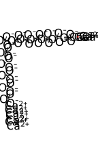 O=C([O-])[O-].O=C([O-])[O-].O=C([O-])[O-].O=C([O-])[O-].O=C([O-])[O-].O=C([O-])[O-].O=C([O-])[O-].O=C([O-])[O-].O=C([O-])[O-].O=C([O-])[O-].O=C([O-])[O-].O=C([O-])[O-].[Ca+2].[Ca+2].[Ca+2].[Ca+2].[Ca+2].[Ca+2].[Ca+2].[Ca+2].[Ca+2].[Ca+2].[Ca+2].[Ca+2]